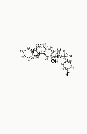 O=C(NC1(c2ccc(F)cc2)CC1)c1cc(Cl)c(-n2nc3n(c2=O)CCCC3)cc1O